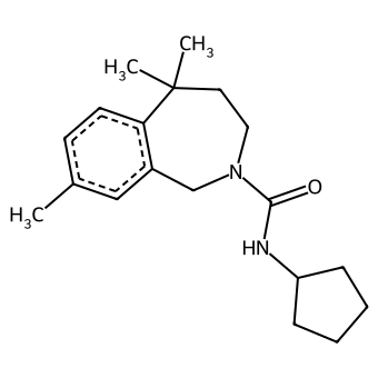 Cc1ccc2c(c1)CN(C(=O)NC1CCCC1)CCC2(C)C